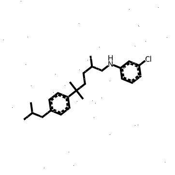 CC(C)Cc1ccc(C(C)(C)CCC(C)CNc2cccc(Cl)c2)cc1